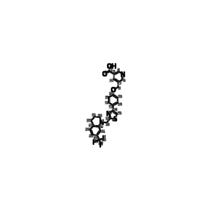 O=C(O)c1cncc(COc2ccc(-c3csc(CN4CCCc5ccc(C(F)(F)F)cc54)n3)cc2)c1